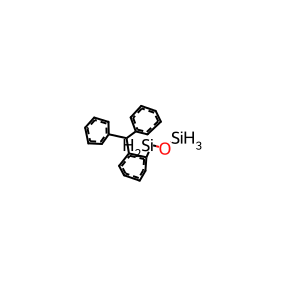 [SiH3]O[SiH2]c1ccccc1C(c1ccccc1)c1ccccc1